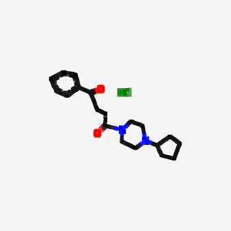 Cl.O=C(CCC(=O)N1CCN(C2CCCC2)CC1)c1ccccc1